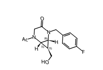 CC(=O)N1CC(=O)N(Cc2ccc(F)cc2)[C@@H]2[C@@H](CO)[C@@H]21